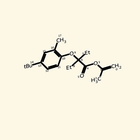 C=C(C)OC(=O)C(CC)(CC)Oc1ccc(C(C)(C)C)cc1C